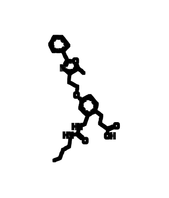 CCCCNC(=O)NCc1cc(OCCc2nc(-c3ccccc3)oc2C)ccc1CCC(=O)O